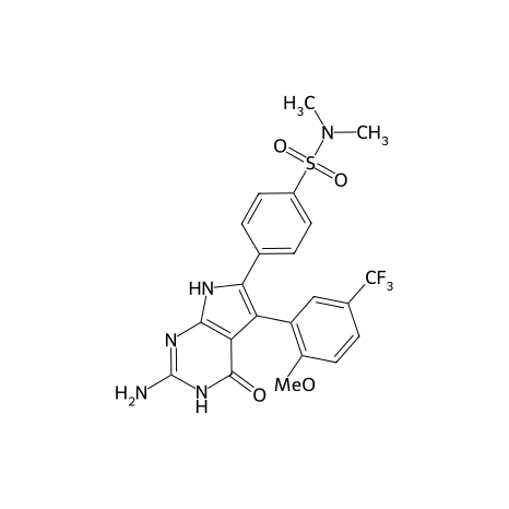 COc1ccc(C(F)(F)F)cc1-c1c(-c2ccc(S(=O)(=O)N(C)C)cc2)[nH]c2nc(N)[nH]c(=O)c12